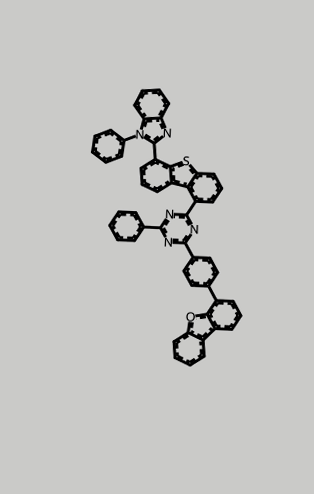 c1ccc(-c2nc(-c3ccc(-c4cccc5c4oc4ccccc45)cc3)nc(-c3cccc4sc5c(-c6nc7ccccc7n6-c6ccccc6)cccc5c34)n2)cc1